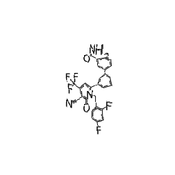 N#Cc1c(C(F)(F)F)cc(-c2cccc(-c3cccc(C(N)=O)c3)c2)n(Cc2ccc(F)cc2F)c1=O